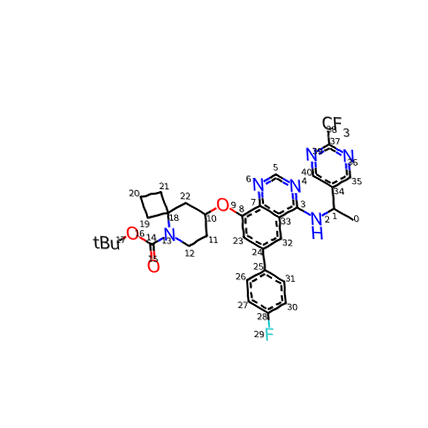 CC(Nc1ncnc2c(OC3CCN(C(=O)OC(C)(C)C)C4(CCC4)C3)cc(-c3ccc(F)cc3)cc12)c1cnc(C(F)(F)F)nc1